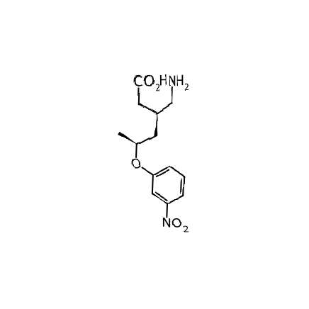 C[C@@H](C[C@H](CN)CC(=O)O)Oc1cccc([N+](=O)[O-])c1